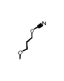 COCCCOC#N